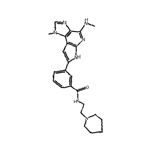 CNc1nc2[nH]c(-c3cccc(C(=O)NCCN4CCCCC4)c3)cc2c2c1ncn2C